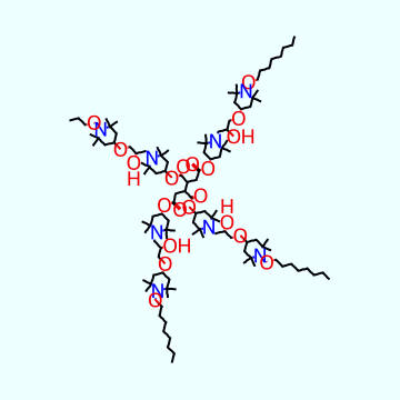 CCCCCCCCON1C(C)(C)CC(OCC(O)CN2C(C)(C)CC(OC(=O)CC(C(=O)OC3CC(C)(C)N(CC(O)COC4CC(C)(C)N(OCCC)C(C)(C)C4)C(C)(C)C3)C(CC(=O)OC3CC(C)(C)N(CC(O)COC4CC(C)(C)N(OCCCCCCCC)C(C)(C)C4)C(C)(C)C3)C(=O)OC3CC(C)(C)N(CC(O)COC4CC(C)(C)N(OCCCCCCCC)C(C)(C)C4)C(C)(C)C3)CC2(C)C)CC1(C)C